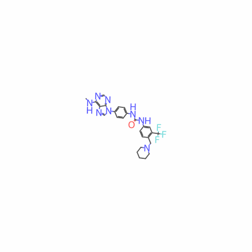 CNc1ncnc2c1ncn2-c1ccc(NC(=O)Nc2ccc(CN3CCCCC3)c(C(F)(F)F)c2)cc1